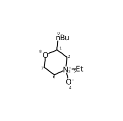 CCCCC1C[N+]([O-])(CC)CCO1